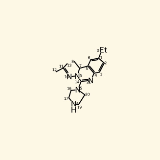 CCc1ccc2c(c1)C(C)N(N=C(C)C)C(N1CCNCC1)=N2